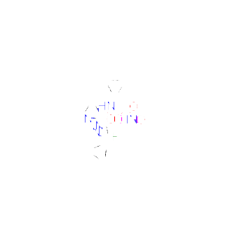 CONC(=O)C(=O)[C@@H](Cc1ccccc1)NC(=O)c1cccnc1-n1cc(F)c(-c2ccccc2)n1